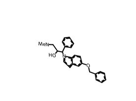 CNCC(O)C(c1ccccc1)n1ccc2cc(OCc3ccccc3)ccc21